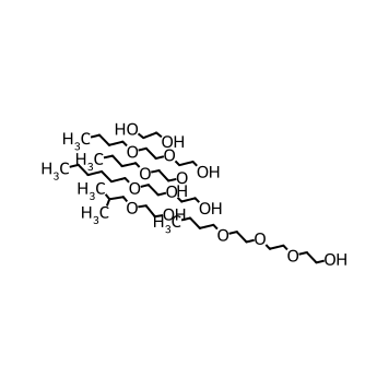 CC(C)COCCO.CCCCCCOCCOCCO.CCCCOCCO.CCCCOCCOCCO.CCCCOCCOCCOCCO.OCCO